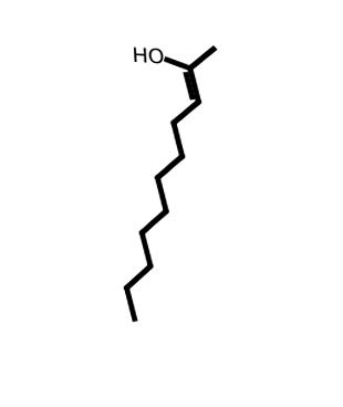 CCCCCCCCC=C(C)O